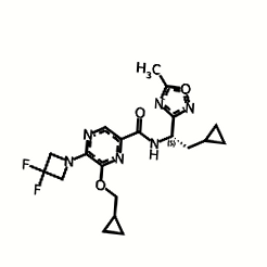 Cc1nc([C@H](CC2CC2)NC(=O)c2cnc(N3CC(F)(F)C3)c(OCC3CC3)n2)no1